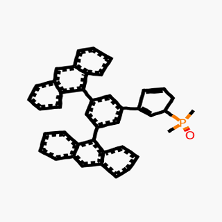 CP(C)(=O)C1C=C(c2cc(-c3c4ccccc4cc4ccccc34)cc(-c3c4ccccc4cc4ccccc34)c2)C=CC1